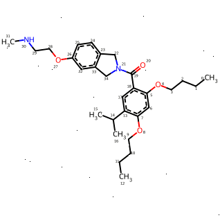 CCCCOc1cc(OCCCC)c(C(C)C)cc1C(=O)N1Cc2ccc(OCCNC)cc2C1